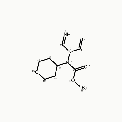 C=CN(C=N)N(C(=O)OC(C)(C)C)C1CCOCC1